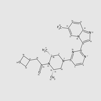 C[C@@H]1CN(c2ccnc(-c3cnc4ccc(C(F)(F)F)cn34)n2)C[C@H](C)N1C(=O)CC1COC1